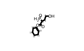 O=[PH2]C(CCO)C(=O)OC1=CCCCC1